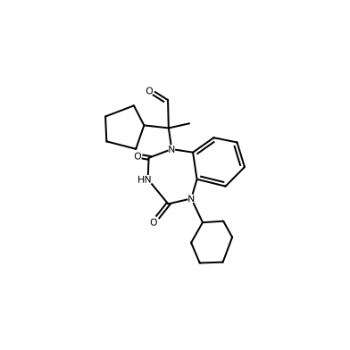 CC(C=O)(C1CCCC1)N1C(=O)NC(=O)N(C2CCCCC2)c2ccccc21